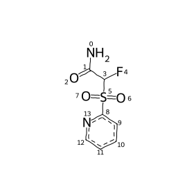 NC(=O)C(F)S(=O)(=O)c1ccccn1